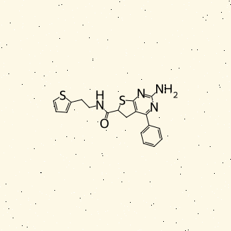 Nc1nc2c(c(-c3ccccc3)n1)CC(C(=O)NCCc1cccs1)S2